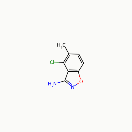 Cc1ccc2onc(N)c2c1Cl